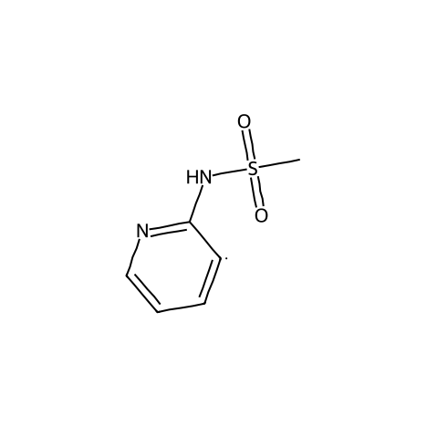 CS(=O)(=O)Nc1[c]cccn1